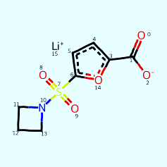 O=C([O-])c1ccc(S(=O)(=O)N2CCC2)o1.[Li+]